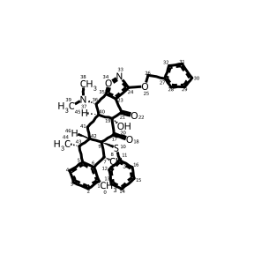 Cc1cccc2c1[C@@H](C)[C@@]1(Sc3ccccc3)C(=O)[C@]3(O)C(=O)c4c(OCc5ccccc5)noc4[C@@H](N(C)C)[C@@H]3C[C@H]1[C@H]2C